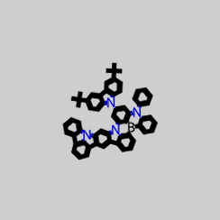 CC(C)(C)c1ccc2c(c1)c1cc(C(C)(C)C)ccc1n2-c1cc2c3c(c1)-n1c4cc5c(cc4c4cccc(c41)B3c1ccccc1N2c1ccccc1)c1cccc2c3ccccc3n5c21